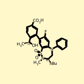 CCCC[C@@H]1CN(c2ccccc2)c2cc(F)c(-c3cc(C(=O)O)ccc3[C@H](C)O)cc2S(=O)(=O)N1C